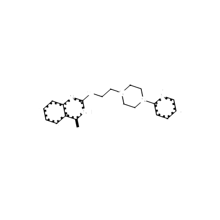 O=c1[nH]c(SCCN2CCN(c3ccccn3)CC2)nc2ccccc12